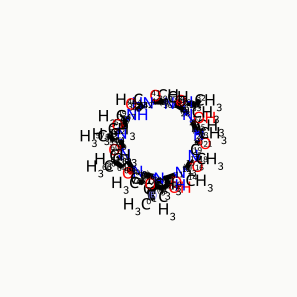 C/C=C/C[C@@H](C)[C@@H](O)[C@H]1C(=O)N[C@@H](CC)C(=O)N(C)CC(=O)N(C)[C@H](C)C(O)N[C@@H](CC(C)C)C(=O)N(C)[C@@H](C)C(=O)N[C@@H](C)C(=O)N[C@H](C)C(=O)N(C)[C@@H](CC(C)C)C(=O)N(C)[C@H](CC(C)C)C(=O)N(C)[C@@H](C(C)C)C(=O)N1C